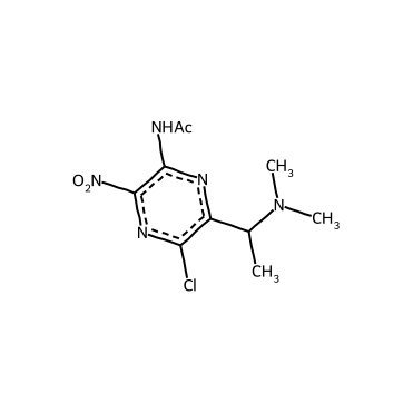 CC(=O)Nc1nc(C(C)N(C)C)c(Cl)nc1[N+](=O)[O-]